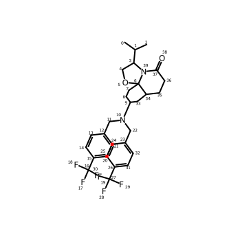 CC(C)C1COC23CCC(N(Cc4ccc(C(F)(F)F)cc4)Cc4ccc(C(F)(F)F)cc4)CC2CCC(=O)N13